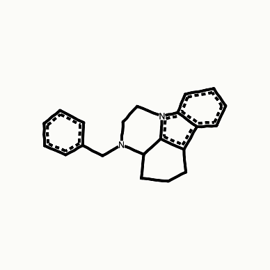 c1ccc(CN2CCn3c4c(c5ccccc53)CCCC42)cc1